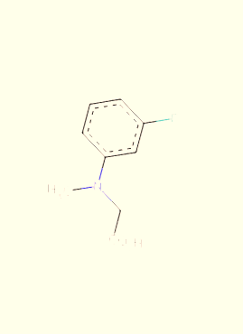 CN(CC(=O)O)c1cccc(F)c1